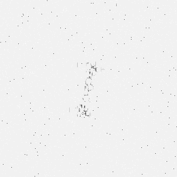 CC1(C)OB(c2ccc(-c3ccc4cc(B5OC(C)(C)C(C)(C)O5)ccc4n3)cc2)OC1(C)C